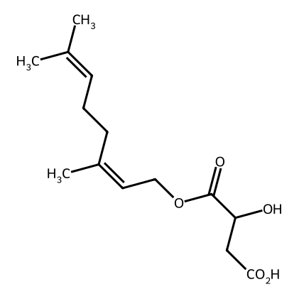 CC(C)=CCCC(C)=CCOC(=O)C(O)CC(=O)O